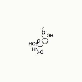 CCOCc1c(O)ccc2c1OB(O)[C@@H](NC(C)=O)C2